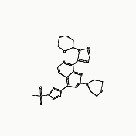 CS(=O)(=O)n1ncc(-c2cc(N3CCOCC3)nc3c(-c4ccnn4C4CCCCO4)nccc23)n1